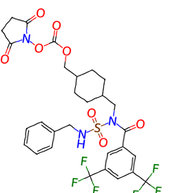 O=C(OCC1CCC(CN(C(=O)c2cc(C(F)(F)F)cc(C(F)(F)F)c2)S(=O)(=O)NCc2ccccc2)CC1)ON1C(=O)CCC1=O